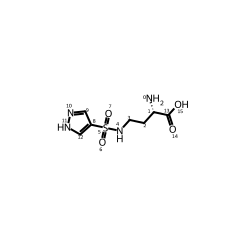 N[C@@H](CCNS(=O)(=O)c1cn[nH]c1)C(=O)O